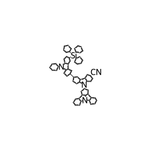 N#Cc1ccc2c(c1)c1cc(-c3ccc4c(c3)c3cc([Si](c5ccccc5)(c5ccccc5)c5ccccc5)ccc3n4-c3ccccc3)ccc1n2-c1cc2c3ccccc3n3c4ccccc4c(c1)c23